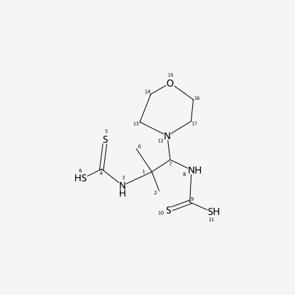 CC(C)(NC(=S)S)C(NC(=S)S)N1CCOCC1